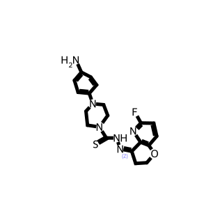 Nc1ccc(N2CCN(C(=S)N/N=C3/CCOc4ccc(F)nc43)CC2)cc1